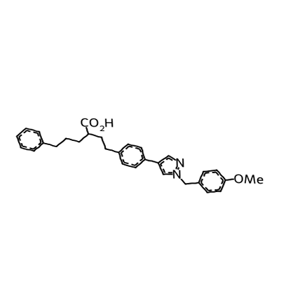 COc1ccc(Cn2cc(-c3ccc(CCC(CCCc4ccccc4)C(=O)O)cc3)cn2)cc1